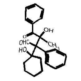 CC(O)(C(=O)c1ccccc1)C(C=O)(c1ccccc1)C1(O)CCCCC1